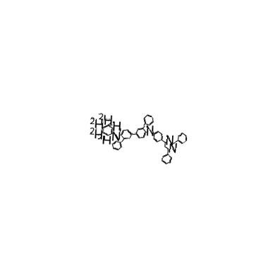 [2H]c1c([2H])c([2H])c(-n2c3ccccc3c3cc(-c4ccc5c(c4)c4ccccc4n5-c4ccc(-c5cc(-c6ccccc6)nc(-c6ccccc6)n5)cc4)ccc32)c([2H])c1[2H]